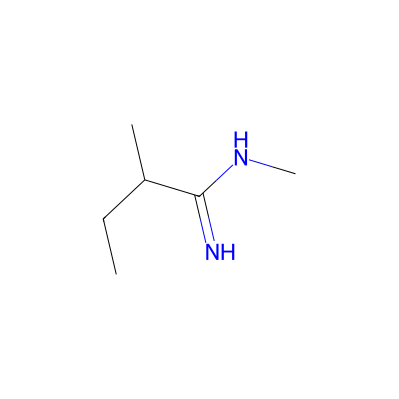 CCC(C)C(=N)NC